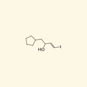 OC(C=CI)CC1CCCC1